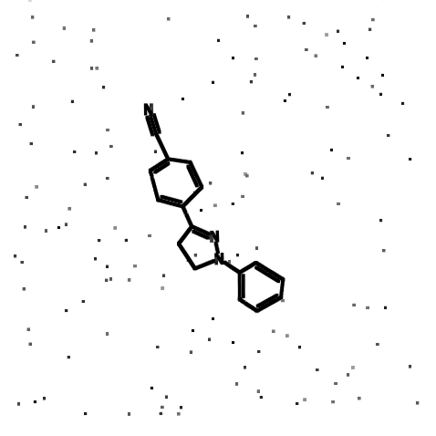 N#Cc1ccc(C2=NN(c3ccccc3)CC2)cc1